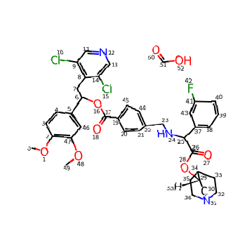 COc1ccc(C(Cc2c(Cl)cncc2Cl)OC(=O)c2ccc(CNC(C(=O)O[C@H]3CN4CCC3CC4)c3cccc(F)c3)cc2)cc1OC.O=CO